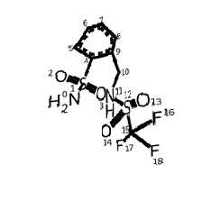 NS(=O)(=O)c1ccccc1CNS(=O)(=O)C(F)(F)F